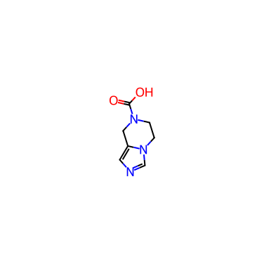 O=C(O)N1CCn2cncc2C1